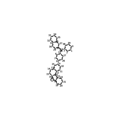 c1ccc(N(c2ccc(-c3ccc4c(ccc5oc6ccccc6c54)c3)cc2)c2ccc3ccccc3c2)cc1